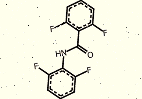 O=C(Nc1c(F)cccc1F)c1c(F)cccc1F